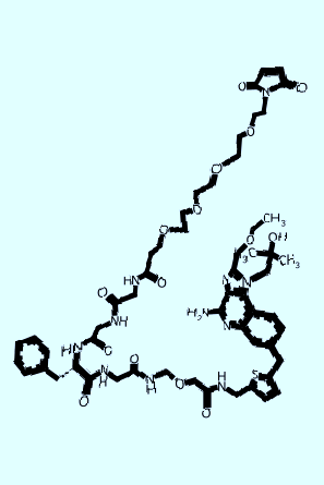 CCOCc1nc2c(N)nc3cc(Cc4ccc(CNC(=O)COCNC(=O)CNC(=O)[C@H](Cc5ccccc5)NC(=O)CNC(=O)CNC(=O)CCOCCOCCOCCOCCN5C(=O)C=CC5=O)s4)ccc3c2n1CC(C)(C)O